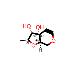 C[C@@H]1O[C@@H]2COC#C[C@]2(O)[C@H]1O